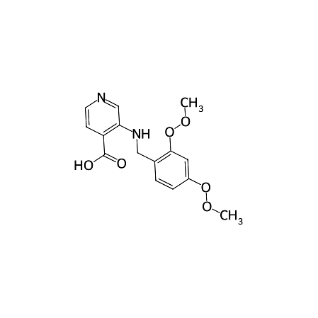 COOc1ccc(CNc2cnccc2C(=O)O)c(OOC)c1